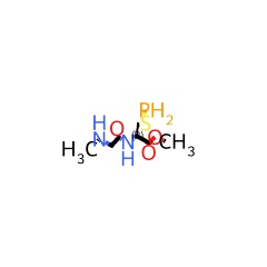 CNCC(=O)N[C@@H](CSP)C(=O)OC